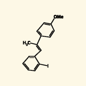 COc1ccc(C(C)=Cc2ccccc2I)cc1